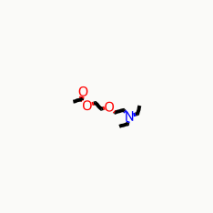 CCN(CC)CCOCCOC(C)=O